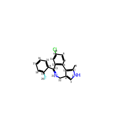 Cc1[nH]cc2c1-c1ccc(Cl)cc1C(c1ccccc1F)=NC2